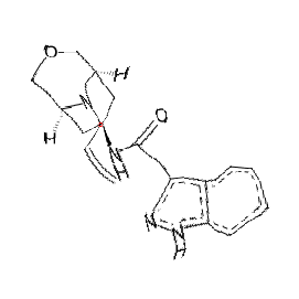 C=CCN1[C@@H]2COC[C@H]1C[C@@H](NC(=O)c1n[nH]c3ccccc13)C2